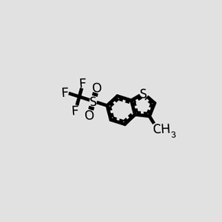 Cc1csc2cc(S(=O)(=O)C(F)(F)F)ccc12